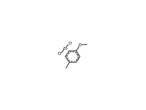 [CH2]c1ccc(OC)cc1.[Cl][Zn][Cl]